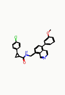 COc1cccc(-c2ccc(CNC(=O)C3CC3c3ccc(Cl)cc3)c3cnccc23)c1